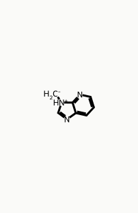 [CH2-][NH+]1C=Nc2cccnc21